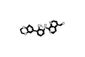 Cc1c(Nc2nccc3c(C=O)ccnc23)cccc1-c1ccc2c(c1)OCCO2